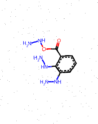 NNOC(=O)c1cccc(NN)c1NN